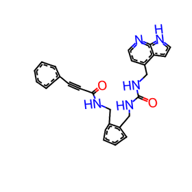 O=C(C#Cc1ccccc1)NCc1ccccc1CNC(=O)NCc1ccnc2[nH]ccc12